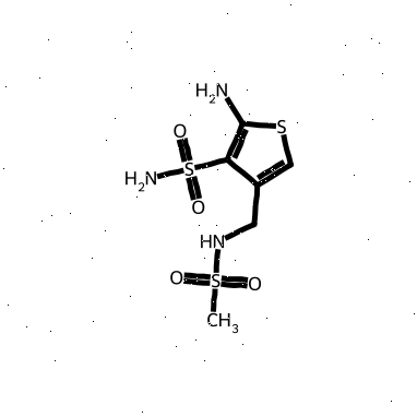 CS(=O)(=O)NCc1csc(N)c1S(N)(=O)=O